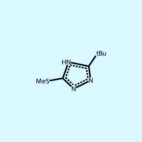 CSc1nnc(C(C)(C)C)[nH]1